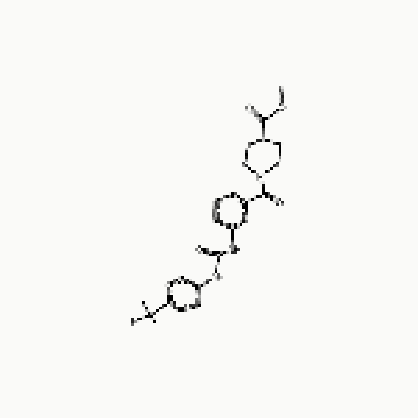 COC(=O)C1CCN(C(=O)c2cccc(NC(=O)Nc3ccc(C(F)(F)F)cc3)c2)CC1